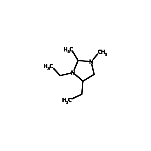 CCC1CN(C)C(C)N1CC